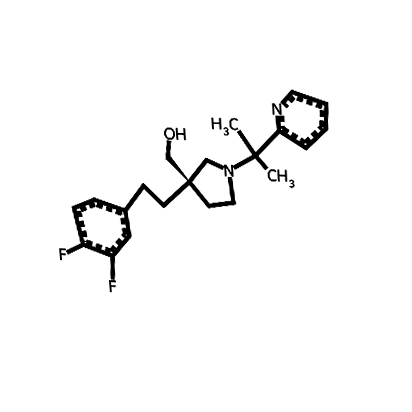 CC(C)(c1ccccn1)N1CC[C@](CO)(CCc2ccc(F)c(F)c2)C1